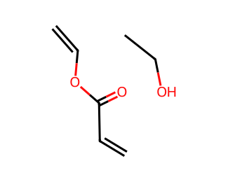 C=COC(=O)C=C.CCO